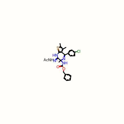 CC(=O)N/N=C1\Nc2sc(C)c(C)c2C(c2ccc(Cl)cc2)=NC1(C)NC(=O)OCc1ccccc1